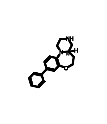 [c]1ccccc1-c1ccc2c(c1)OCC[C@H]1CNCCN21